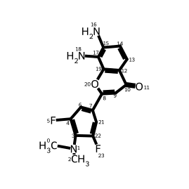 CN(C)c1c(F)cc(-c2cc(=O)c3ccc(N)c(N)c3o2)cc1F